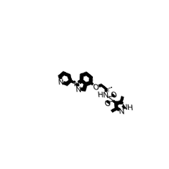 Cc1n[nH]c(C)c1S(=O)(=O)N[C@@H](C)COc1cccc2c1cnn2-c1cccnc1